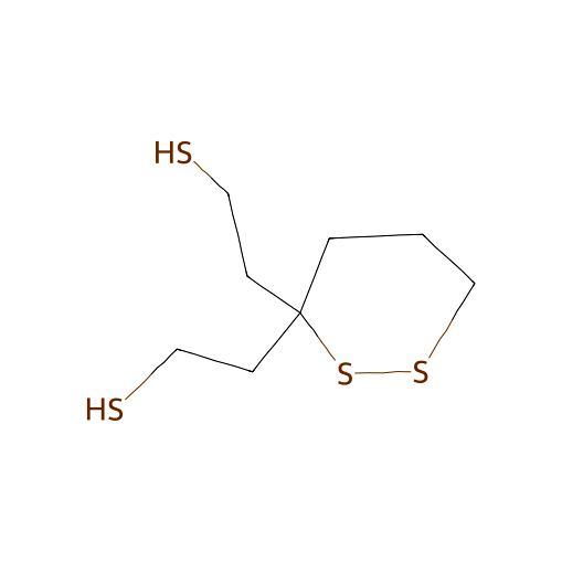 SCCC1(CCS)CCCSS1